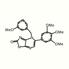 COc1cccc(CN2C(c3cc(OC)c(OC)c(OC)c3)=CN=C3[N]C(=O)N=C32)c1